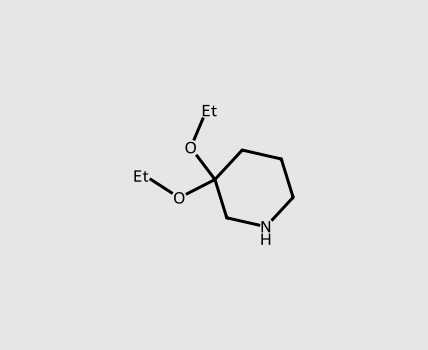 CCOC1(OCC)CCCNC1